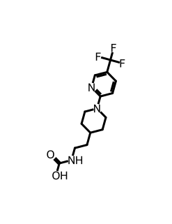 O=C(O)NCCC1CCN(c2ccc(C(F)(F)F)cn2)CC1